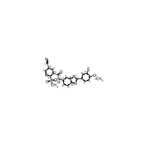 COc1ccc(-c2nc3cc(NC(=O)c4cc(C#N)cnc4S(C)(=O)=O)ccc3o2)cc1F